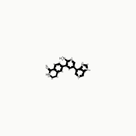 Nc1ncc(-c2cncc3scnc23)cc1-c1ccc2c(c1)CCNC2=O